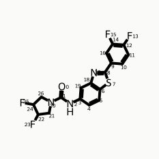 O=C(Nc1ccc2sc(-c3ccc(F)c(F)c3)nc2c1)N1CC(F)C(F)C1